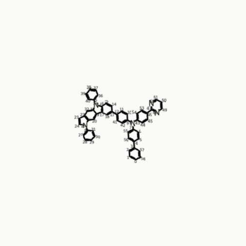 c1ccc(-c2ccc(N(c3ccc(-c4ccc5c(c4)c4cc6c(ccn6-c6ccccc6)cc4n5-c4ccccc4)cc3)c3ccc(-c4ncccn4)cc3)cc2)cc1